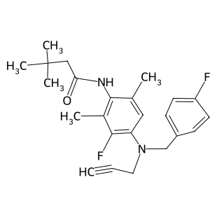 C#CCN(Cc1ccc(F)cc1)c1cc(C)c(NC(=O)CC(C)(C)C)c(C)c1F